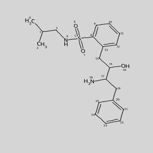 CC(C)CNS(=O)(=O)c1ccccc1CC(O)C(N)Cc1ccccc1